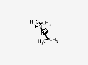 CC(C)Nc1nc(C(C)C)cs1